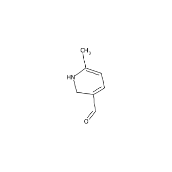 CC1=CC=C(C=O)CN1